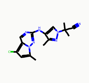 Cc1nn(C(C)(C)C#N)cc1Nc1ncc2c(Cl)cc(C)n2n1